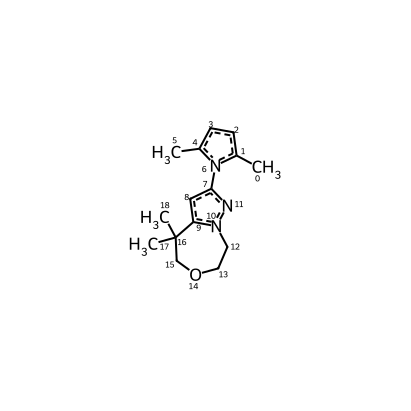 Cc1ccc(C)n1-c1cc2n(n1)CCOCC2(C)C